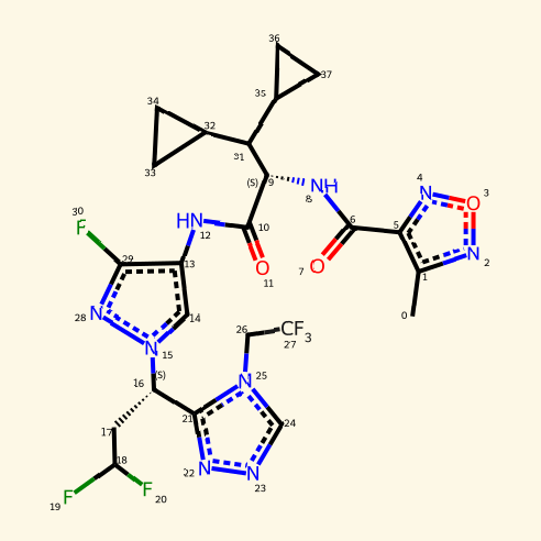 Cc1nonc1C(=O)N[C@H](C(=O)Nc1cn([C@@H](CC(F)F)c2nncn2CC(F)(F)F)nc1F)C(C1CC1)C1CC1